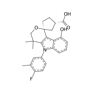 Cc1cc(-n2c3c(c4c(O)cccc42)[C@@]2(CC[C@H](C(=O)O)C2)OCC3(C)C)ccc1F